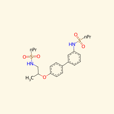 CCCS(=O)(=O)NCC(C)Oc1ccc(-c2cccc(NS(=O)(=O)CCC)c2)cc1